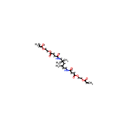 C=CC(=O)OCCOC(=O)CCC(=O)NCCC(C)CC(C)(C)CNC(=O)CCC(=O)OCCOC(=O)C=C